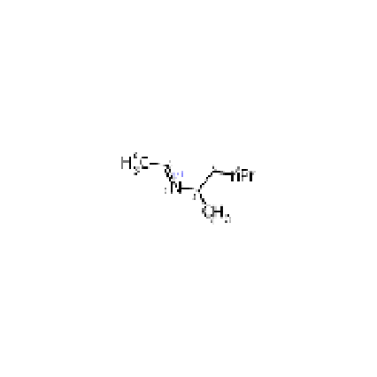 C/C=N/C(C)CCCC